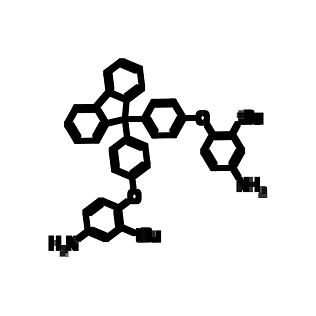 CC(C)(C)c1cc(N)ccc1Oc1ccc(C2(c3ccc(Oc4ccc(N)cc4C(C)(C)C)cc3)c3ccccc3-c3ccccc32)cc1